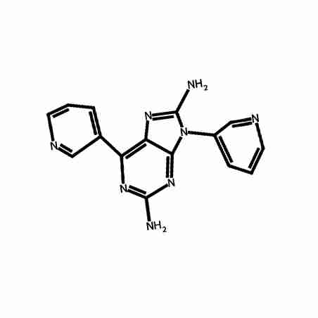 Nc1nc(-c2cccnc2)c2nc(N)n(-c3cccnc3)c2n1